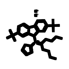 CCCC[C](CCCC)=[Zr+2]([C]1=CC=CC1)[CH]1c2cc(C(C)(C)C)ccc2-c2ccc(C(C)(C)C)cc21.[Cl-].[Cl-]